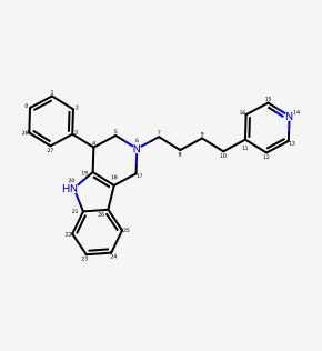 c1ccc(C2CN(CCCCc3ccncc3)Cc3c2[nH]c2ccccc32)cc1